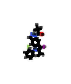 CC(C)c1c(I)c2cc3c(cnn3C(=O)C(C)(C)C)cc2n1-c1ccccc1F